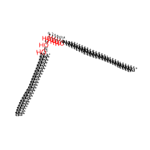 CO.CO.CO.CO.CO.CO.CO.CO.[Na+].[Na+].[Na+].[Na+].[Na+].[Na+].[Na+].[Na+].[Na+].[Na+].[Na+].[Na+].[Na+].[Na+].[Na+].[Na+].[Na+].[Na+].[Na+].[Na+].[Na+].[Na+].[Na+].[Na+].[Na+].[Na+].[Na+].[Na+].[Na+].[Na+].[Na+].[Na+].[Na+].[Na+].[Na+].[Na+].[Na+].[Na+].[Na+].[Na+].[Na+].[Na+].[Na+].[Na+].[Na+].[Na+].[Na+].[Na+]